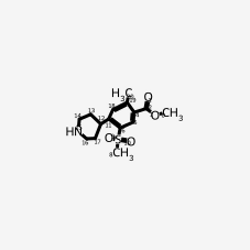 COC(=O)c1cc(S(C)(=O)=O)c(C2CCNCC2)cc1C